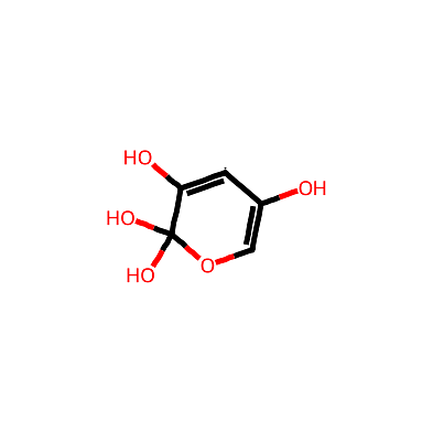 OC1=[C]C(O)=COC1(O)O